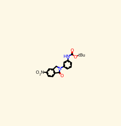 CC(C)(C)OC(=O)Nc1cccc(N2Cc3cc([N+](=O)[O-])ccc3C2=O)c1